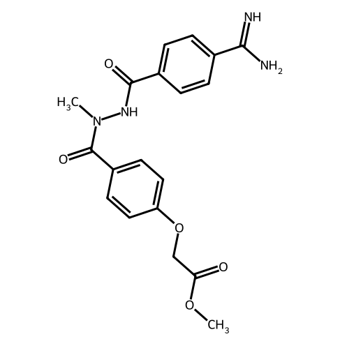 COC(=O)COc1ccc(C(=O)N(C)NC(=O)c2ccc(C(=N)N)cc2)cc1